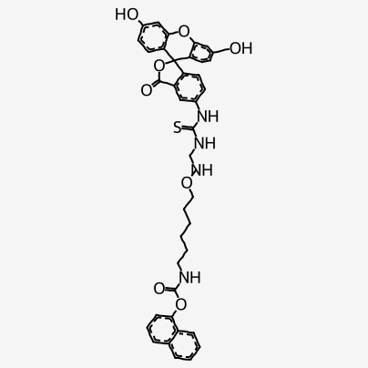 O=C(NCCCCCCONCNC(=S)Nc1ccc2c(c1)C(=O)OC21c2ccc(O)cc2Oc2cc(O)ccc21)Oc1cccc2ccccc12